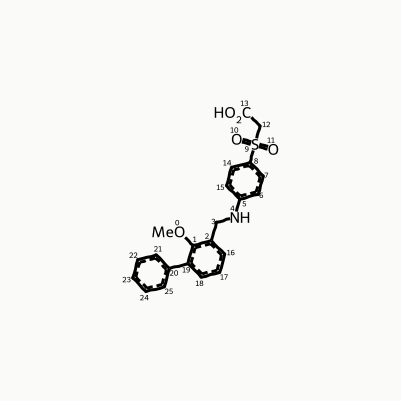 COc1c(CNc2ccc(S(=O)(=O)CC(=O)O)cc2)cccc1-c1ccccc1